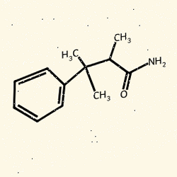 CC(C(N)=O)C(C)(C)c1ccccc1